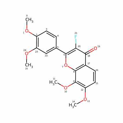 COc1ccc(-c2oc3c(OC)c(OC)ccc3c(=O)c2F)cc1OC